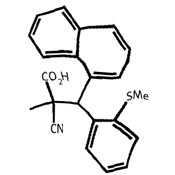 CSc1ccccc1C(c1cccc2ccccc12)C(C)(C#N)C(=O)O